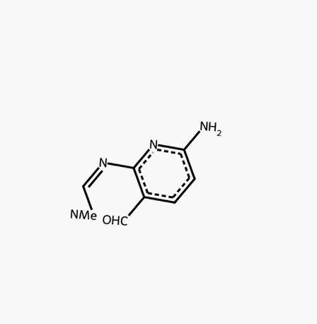 CN/C=N\c1nc(N)ccc1C=O